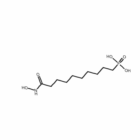 O=C(CCCCCCCCCP(=O)(O)O)NO